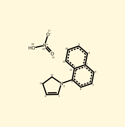 C1=CN(c2cccc3ccccc23)CC1.O=[N+]([O-])O